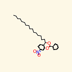 CCCCCCCCCCCCCCCCC(OC(=O)c1ccccc1)c1ccc([N+](=O)[O-])cc1